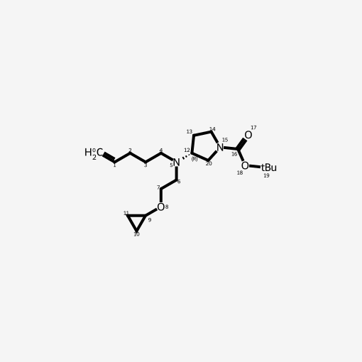 C=CCCCN(CCOC1CC1)[C@@H]1CCN(C(=O)OC(C)(C)C)C1